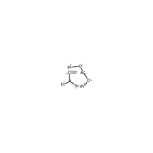 CC(C)[O][Al+][O]C(C)C.CCC(C(C)=O)C(=O)[O-]